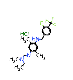 CCN(C)/C=N/c1cc(C)c(NCc2ccc(C(F)(F)F)c(F)c2)cc1C.Cl